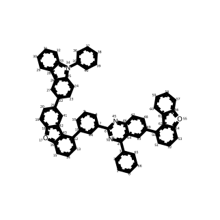 c1ccc(-c2nc(-c3cccc(-c4cccc5oc6ccc(-c7ccc8c(c7)c7ccccc7n8-c7ccccc7)cc6c45)c3)nc3ccc(-c4cccc5oc6ccccc6c45)cc23)cc1